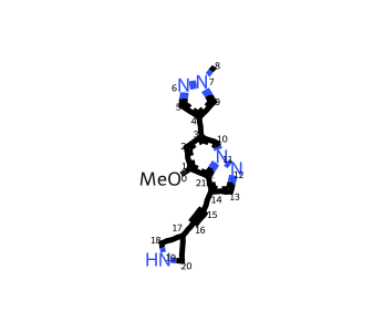 COc1cc(-c2cnn(C)c2)cn2ncc(C#CC3CNC3)c12